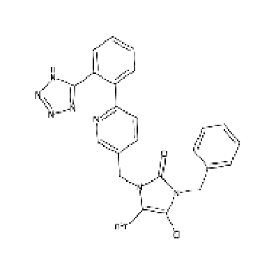 CCCc1c(Cl)n(Cc2ccccc2)c(=O)n1Cc1ccc(-c2ccccc2-c2nnn[nH]2)nc1